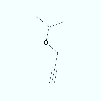 C#CCOC(C)C